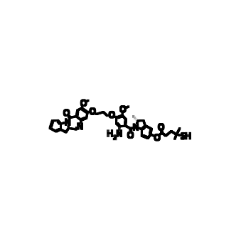 COc1cc(C(=O)N2c3ccc(OC(=O)CCC(C)(C)S)cc3C[C@H]2C)c(N)cc1OCCCOc1cc2c(cc1OC)C(=O)N1c3ccccc3CC1C=N2